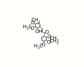 COc1ccc(/C=C/C(=O)c2ccc(OC)c(OC)c2OC)c(O)c1OC